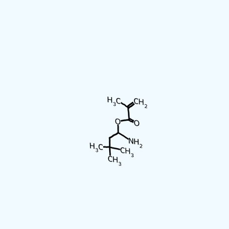 C=C(C)C(=O)OC(N)CC(C)(C)C